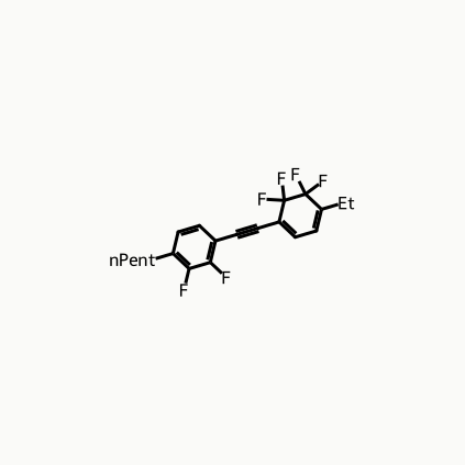 CCCCCc1ccc(C#CC2=CC=C(CC)C(F)(F)C2(F)F)c(F)c1F